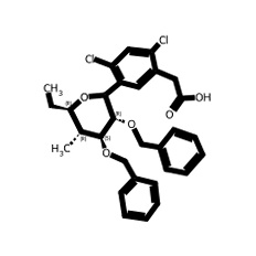 CC[C@H]1OC(c2cc(CC(=O)O)c(Cl)cc2Cl)[C@H](OCc2ccccc2)[C@@H](OCc2ccccc2)[C@@H]1C